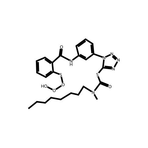 CCCCCCCCN(C)C(=O)Sc1nnnn1-c1cccc(NC(=O)c2ccccc2SOOO)c1